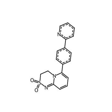 O=S1(=O)CCN2C(c3ccc(-c4ccccn4)cc3)=CC=CC2=N1